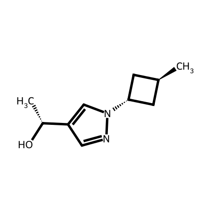 C[C@@H](O)c1cnn([C@H]2C[C@H](C)C2)c1